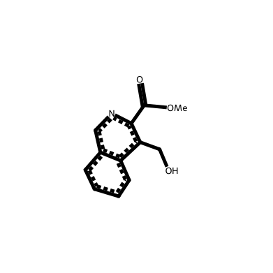 COC(=O)c1ncc2ccccc2c1CO